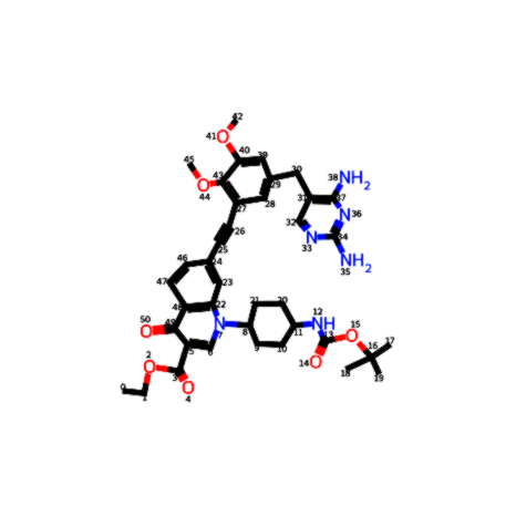 CCOC(=O)c1cn(C2CCC(NC(=O)OC(C)(C)C)CC2)c2cc(C#Cc3cc(Cc4cnc(N)nc4N)cc(OC)c3OC)ccc2c1=O